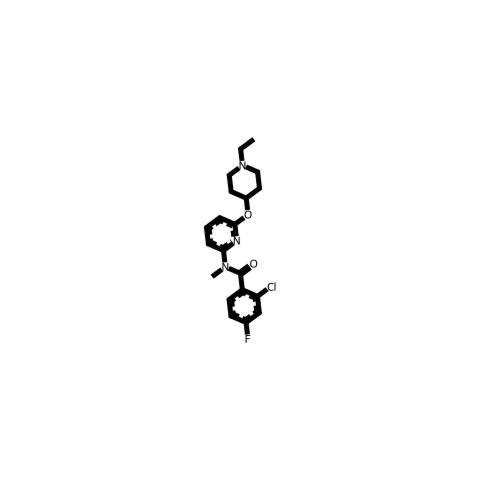 CCN1CCC(Oc2cccc(N(C)C(=O)c3ccc(F)cc3Cl)n2)CC1